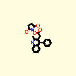 Cc1nc2ccccc2c(-c2ccccc2)c1CC(=O)ON1C(=O)CCC1=O